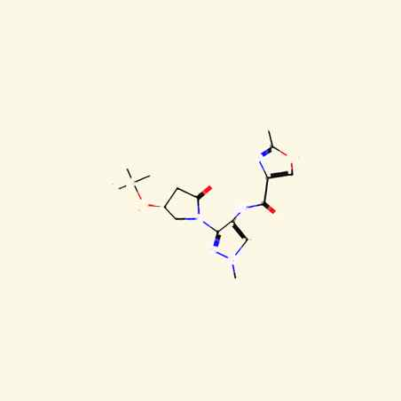 Cc1nc(C(=O)Nc2cn(C)nc2N2C[C@@H](O[Si](C)(C)C(C)(C)C)CC2=O)co1